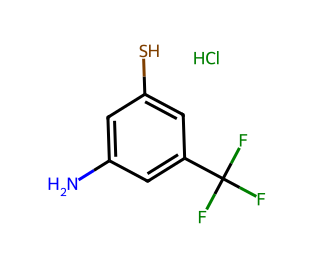 Cl.Nc1cc(S)cc(C(F)(F)F)c1